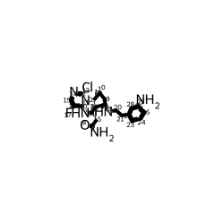 C[C@H]1C[C@@H]([C@H](CC(N)=O)Nc2nc(Cl)ncc2F)[C@H](NCCc2cccc(N)c2)C1